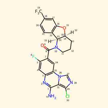 Nc1nc2cc(F)c(C(=O)N3CCC[C@@H]4Oc5cc(C(F)(F)F)ccc5[C@@H]43)cc2n2cnc(Cl)c12